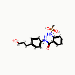 CS(=O)(=O)Nc1ccccc1C(=O)Nc1ccc(CCCO)cc1